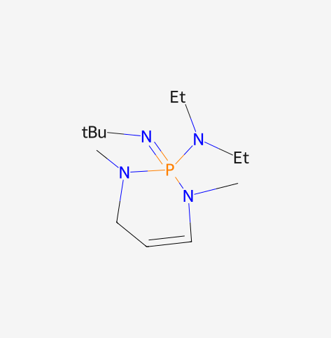 CCN(CC)P1(=NC(C)(C)C)N(C)C=CCN1C